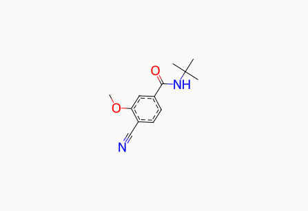 COc1cc(C(=O)NC(C)(C)C)ccc1C#N